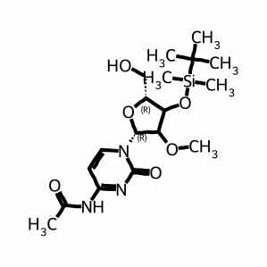 COC1C(O[Si](C)(C)C(C)(C)C)[C@@H](CO)O[C@H]1n1ccc(NC(C)=O)nc1=O